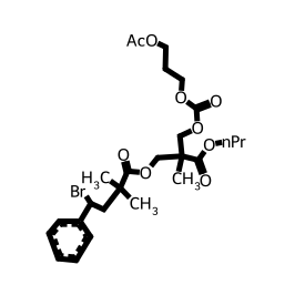 CCCOC(=O)C(C)(COC(=O)OCCCOC(C)=O)COC(=O)C(C)(C)CC(Br)c1ccccc1